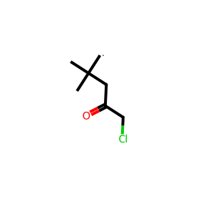 [CH2]C(C)(C)CC(=O)CCl